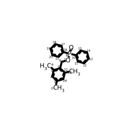 Cc1cc(C)c(COP(=O)(c2ccccc2)c2ccccc2)c(C)c1